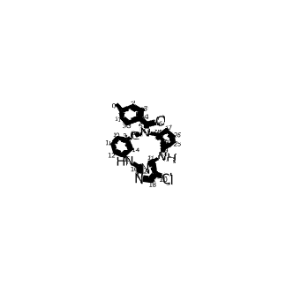 Cc1ccc(C(=O)N2Cc3cccc(c3)Nc3ncc(Cl)c(n3)Nc3cccc2c3)cc1